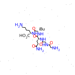 CC[C@H](C)[C@H](NC(=O)[C@H](CCC(N)=O)NC(=O)CNC(=O)CN)C(=O)N[C@@H](CCCCN)C(=O)O